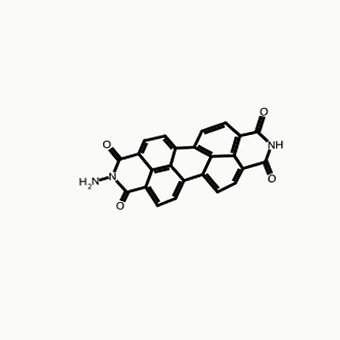 NN1C(=O)c2ccc3c4ccc5c6c(ccc(c7ccc(c2c37)C1=O)c64)C(=O)NC5=O